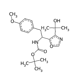 COc1ccc(CC(NC(=O)OC(C)(C)C)c2ocnc2C(C)(C)O)cc1